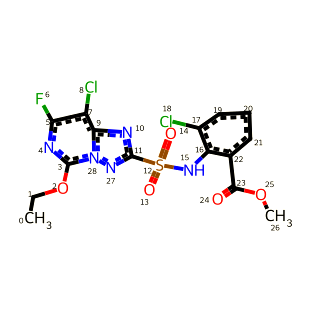 CCOc1nc(F)c(Cl)c2nc(S(=O)(=O)Nc3c(Cl)cccc3C(=O)OC)nn12